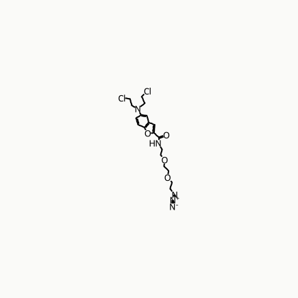 [N-]=[N+]=NCCOCCOCCNC(=O)c1cc2cc(N(CCCl)CCCl)ccc2o1